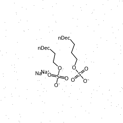 CCCCCCCCCCCCCOS(=O)(=O)[O-].CCCCCCCCCCCCOS(=O)(=O)[O-].[Na+].[Na+]